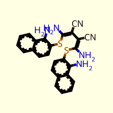 N#CC(=C(N)Sc1ccc2ccccc2c1N)C(C#N)=C(N)Sc1ccc2ccccc2c1N